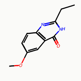 CCc1nc2ccc(OC)cc2c(=O)[nH]1